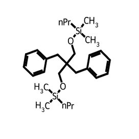 CCC[Si](C)(C)OCC(CO[Si](C)(C)CCC)(Cc1ccccc1)Cc1ccccc1